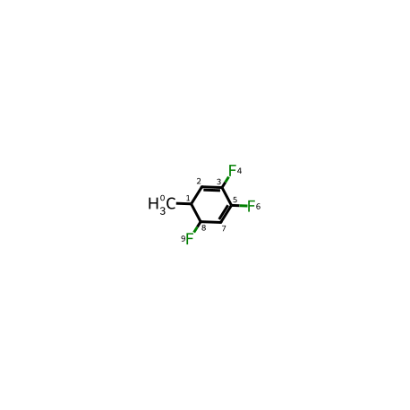 CC1C=C(F)C(F)=CC1F